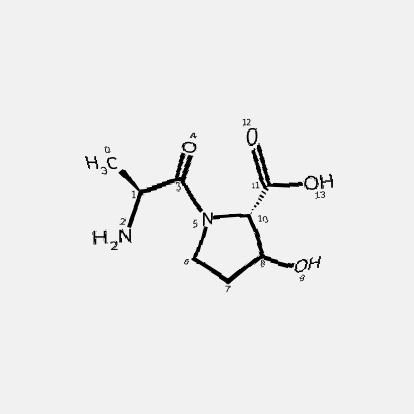 C[C@H](N)C(=O)N1CCC(O)[C@H]1C(=O)O